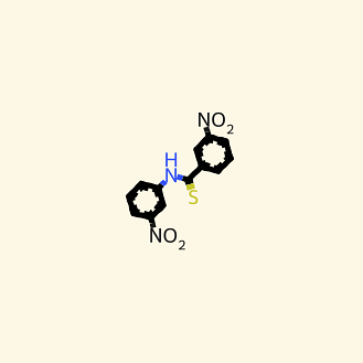 O=[N+]([O-])c1cccc(NC(=S)c2cccc([N+](=O)[O-])c2)c1